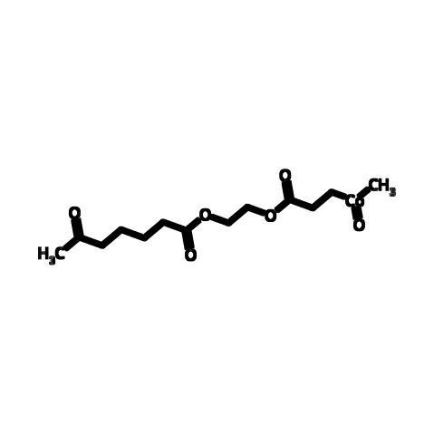 CC(=O)CCCCC(=O)OCCOC(=O)C[CH2][Co]([CH3])=[O]